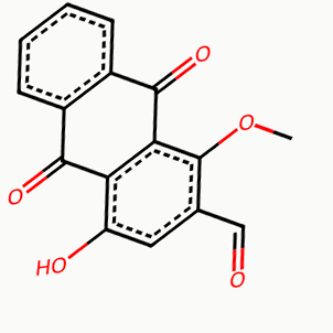 COc1c(C=O)cc(O)c2c1C(=O)c1ccccc1C2=O